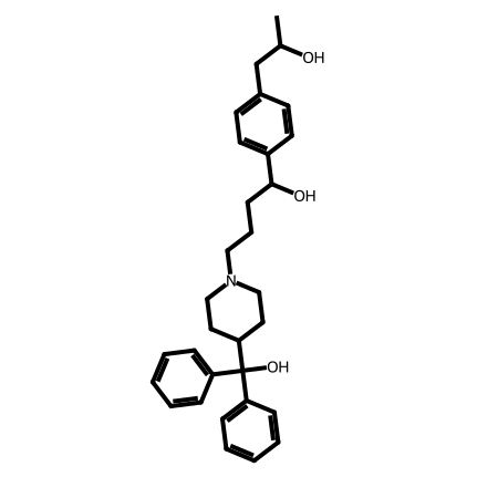 CC(O)Cc1ccc(C(O)CCCN2CCC(C(O)(c3ccccc3)c3ccccc3)CC2)cc1